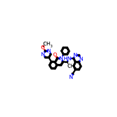 COc1ncc(-c2cccc3cc([C@H](C)Nc4ncnc5ccc(C#N)cc45)n(-c4ccccc4)c(=O)c23)cn1